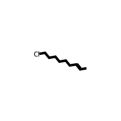 C/C=C/CCCCCCCl